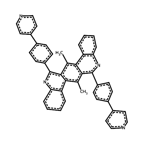 Cc1c2c(-c3ccc(-c4ccncc4)cc3)nc3ccccc3c2c(C)c2c(-c3ccc(-c4ccncc4)cc3)nc3ccccc3c12